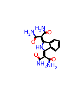 NC(=O)C(C(N)=O)=c1[nH]c(=C(C(N)=O)C(N)=O)c2ccccc12